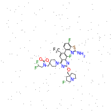 Nc1nc2c(-c3c(C(F)(F)F)cc4c(N5CCC6(CC5)CN(CC(F)F)C(=O)O6)nc(OC[C@@]56CCCN5C[C@H](F)C6)nc4c3F)ccc(F)c2s1